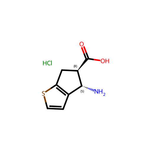 Cl.N[C@@H]1c2ccsc2C[C@H]1C(=O)O